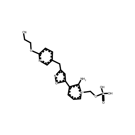 N#CCCOc1ccc(Cc2cc(-c3ccc[n+](COP(=O)(O)O)c3N)on2)cn1